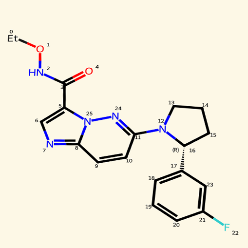 CCONC(=O)c1cnc2ccc(N3CCC[C@@H]3c3cccc(F)c3)nn12